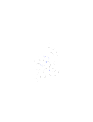 C1=Cc2c(cc(-c3nc(-c4ccccc4)nc(-c4ccccc4N4C5=Cc6ccccc6CC5C5C(n6c7c(c8ccccc86)CCC=C7)=CCCC54)n3)c3ccccc23)CC1